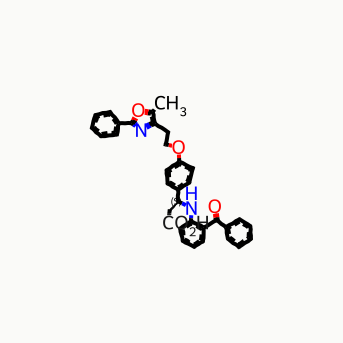 Cc1oc(-c2ccccc2)nc1CCOc1ccc([C@H](CC(=O)O)Nc2ccccc2C(=O)c2ccccc2)cc1